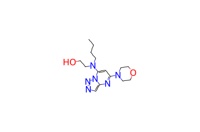 CCCCN(CCO)c1cc(N2CCOCC2)nc2cnnn12